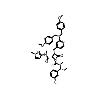 CC[C@H](c1cccc(Cl)c1)N(C)C(=O)N1C(=O)[C@H](Cc2ccnc(N(Cc3ccc(OC)cc3)Cc3ccc(OC)cc3)c2)[C@H]1C(=O)N(C)c1ccn(C)n1